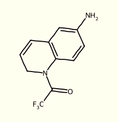 Nc1ccc2c(c1)C=CCN2C(=O)C(F)(F)F